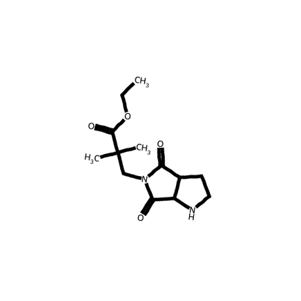 CCOC(=O)C(C)(C)CN1C(=O)C2CCNC2C1=O